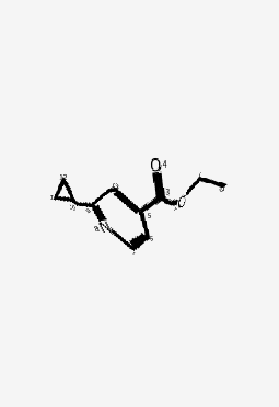 CCOC(=O)c1ccnc(C2CC2)c1